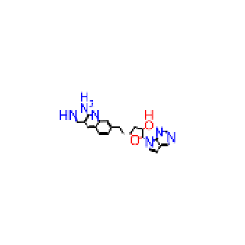 N=Cc1cc2ccc(CC[C@@H]3C[C@@H](O)[C@H](n4ccc5cncnc54)O3)cc2nc1N